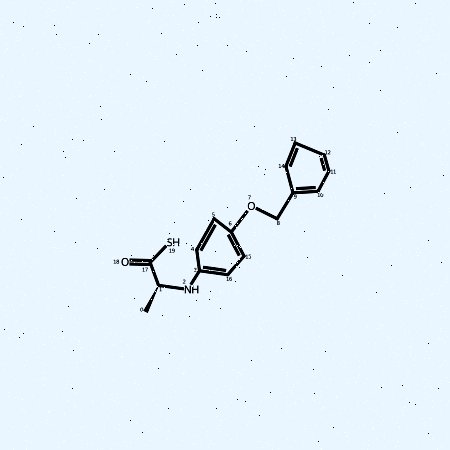 C[C@H](Nc1ccc(OCc2ccccc2)cc1)C(=O)S